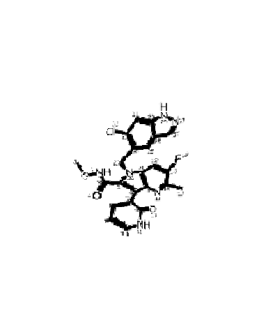 CSNC(=O)c1c(-c2ccc[nH]c2=O)c2nc(C)c(F)cc2n1Cc1cc2cn[nH]c2cc1Cl